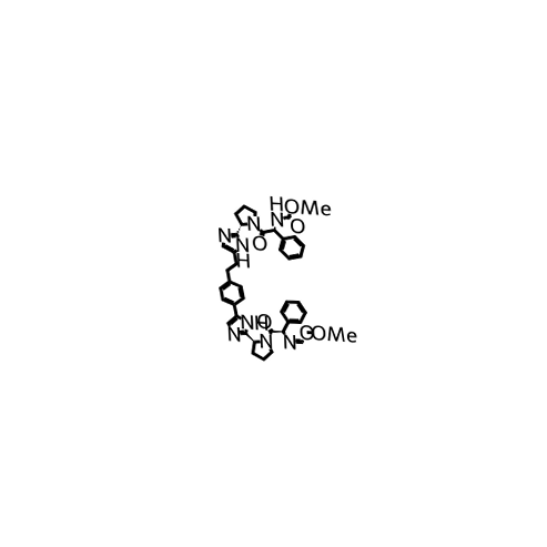 COO/C=N\[C@@H](C(=O)N1CCC[C@H]1c1ncc(-c2ccc(CCc3cnc([C@@H]4CCCN4C(=O)[C@H](NC(=O)OC)c4ccccc4)[nH]3)cc2)[nH]1)c1ccccc1